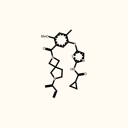 C=CC(=C)N1CCC2(C1)CN(C(=O)c1cc(Sc3cnc(NC(=O)C4CC4)s3)c(C)cc1OC)C2